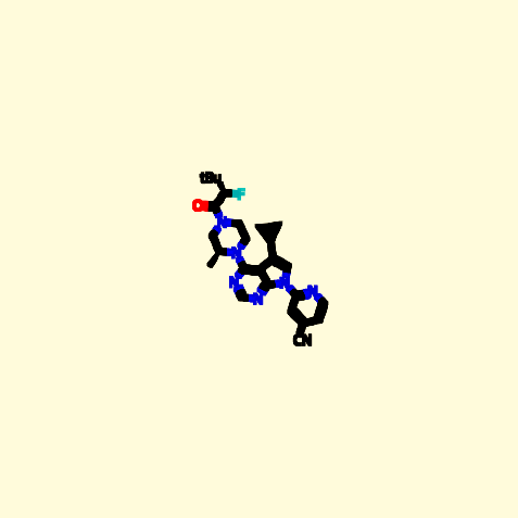 C[C@H]1CN(C(=O)[C@H](F)C(C)(C)C)CCN1c1ncnc2c1c(C1CC1)cn2-c1cc(C#N)ccn1